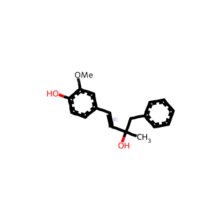 COc1cc(/C=C/C(C)(O)Cc2ccccc2)ccc1O